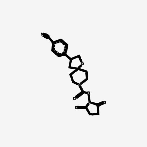 N#Cc1ccc(C2COC3(CCN(C(=O)ON4C(=O)CCC4=O)CC3)C2)cc1